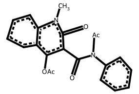 CC(=O)Oc1c(C(=O)N(C(C)=O)c2ccccc2)c(=O)n(C)c2ccccc12